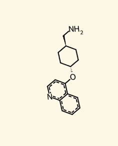 NC[C@H]1CC[C@H](Oc2ccnc3ccccc23)CC1